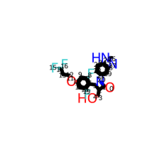 O=C1C(CO)C(c2c(F)cc(OCCC(F)F)cc2F)N1c1ccc2[nH]cnc2c1